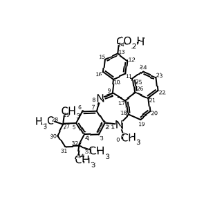 CN1c2cc3c(cc2N=C(c2ccc(C(=O)O)cc2)c2c1ccc1ccccc21)C(C)(C)CCC3(C)C